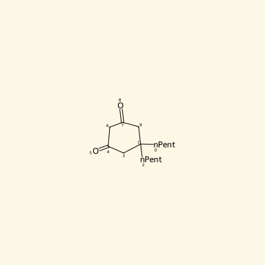 CCCCCC1(CCCCC)CC(=O)CC(=O)C1